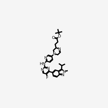 CC(C)c1c2cc(-c3nc(Nc4ccc(N5CC=NC(CCC(=O)OC(C)(C)C)C5)cn4)ncc3F)ccc2nn1C